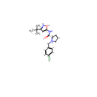 CC(C)(C)c1cc(NC(=O)[C@@H]2CCCN2Cc2ccc(Cl)cc2)on1